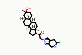 C[C@@]1(O)CC[C@@]2(C)[C@@H](CC[C@@H]3[C@@H]2CC[C@]2(C)[C@@H](C(=O)Cn4cc5c(n4)C=NC(F)C5)CC[C@@H]32)C1